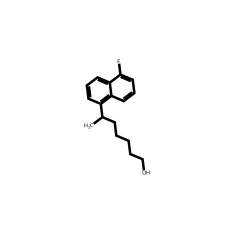 CC(CCCCCO)c1cccc2c(F)cccc12